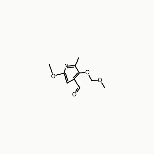 COCOc1c(C=O)cc(OC)nc1C